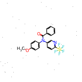 COc1ccc(N(C(=O)c2ccccc2)c2ccc(S(F)(F)(F)(F)F)nc2)cc1